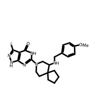 COc1ccc(CNC2CN(c3nc4[nH]nc(I)c4c(=O)[nH]3)CCC23CCCC3)cc1